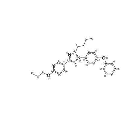 CCCCc1nc(-c2ccc(OCCC)cc2)nn1-c1ccc(Oc2ccccc2)cc1